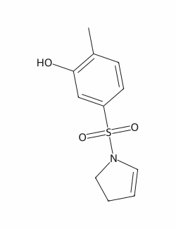 Cc1ccc(S(=O)(=O)N2C=CCC2)cc1O